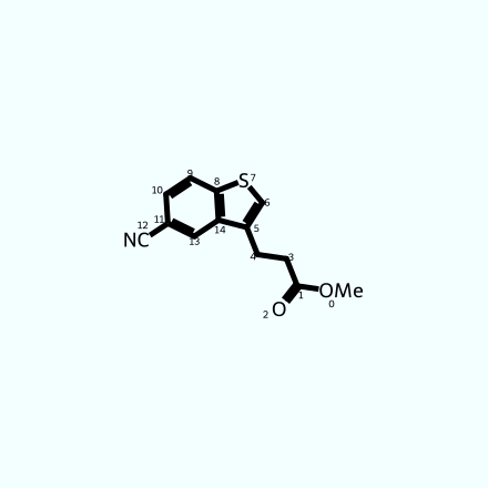 COC(=O)CCc1csc2ccc(C#N)cc12